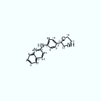 c1ccc2nc(Nc3ccc(C4CNCCO4)cc3)ccc2c1